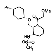 COCC(=O)N1CCC[C@H](NS(C)(=O)=O)[C@@H]1CO[C@H]1CC[C@@H](C(C)C)CC1